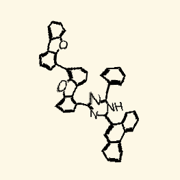 c1ccc(C2=NC(c3cccc4oc5c(-c6cccc7c6oc6ccccc67)cccc5c34)=NC(c3cc4ccccc4c4ccccc34)N2)cc1